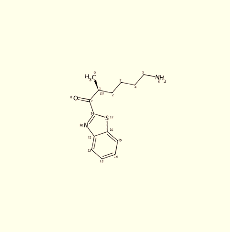 C[C@@H](CCCCN)C(=O)c1nc2ccccc2s1